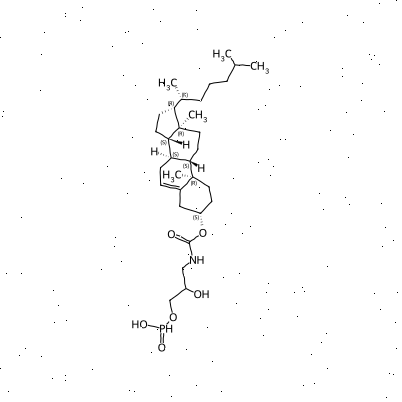 CC(C)CCC[C@@H](C)[C@H]1CC[C@H]2[C@@H]3CC=C4C[C@@H](OC(=O)NCC(O)CO[PH](=O)O)CC[C@]4(C)[C@H]3CC[C@]12C